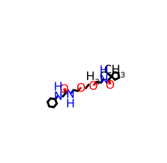 C=C(C)C1(C(=O)NCCOCCOCCNC(=O)CNC2CCCCC2)CCCC1